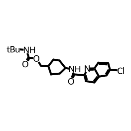 CC(C)(C)NC(=O)OCC1CCC(NC(=O)c2ccc3cc(Cl)ccc3n2)CC1